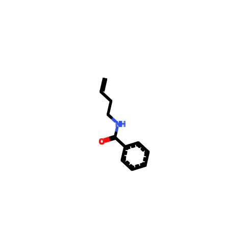 C=CCCNC(=O)c1ccccc1